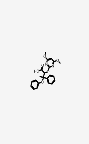 COc1cc(OC)nc(OC(C(=O)O)C(C)(Oc2ccccc2)c2ccccc2)n1